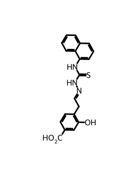 O=C(O)c1ccc(CC=NNC(=S)Nc2cccc3ccccc23)c(O)c1